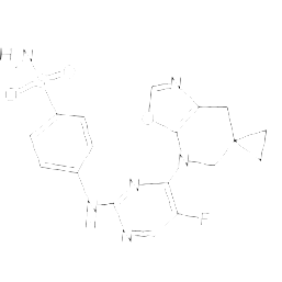 NS(=O)(=O)c1ccc(Nc2ncc(F)c(N3CC4(CC4)Cc4ncoc43)n2)cc1